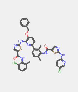 Cc1cccc(Cl)c1NC(=O)c1cnc(Nc2nc(-c3ccc(C)c(NC(=O)c4cnc(Nc5ccc(Br)cn5)s4)c3C)ccc2OCc2ccccc2)s1